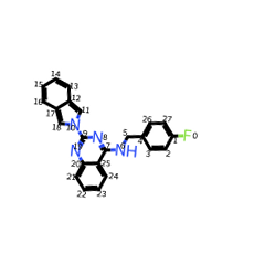 Fc1ccc(CNc2nc(-n3cc4ccccc4c3)nc3ccccc23)cc1